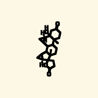 C[C@]12CCC3C(C1C1C[C@@H]1C21CCC(=O)O1)[C@H]1C[C@H]1C1(O)CC(=O)CC[C@]31C